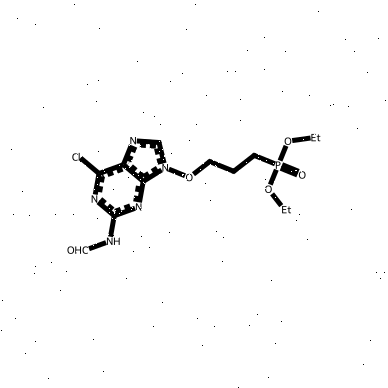 CCOP(=O)(CCCOn1cnc2c(Cl)nc(NC=O)nc21)OCC